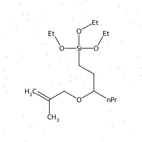 C=C(C)COC(CCC)CC[Si](OCC)(OCC)OCC